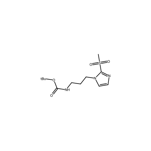 CC(C)(C)OC(=O)NCCCn1ccnc1S(C)(=O)=O